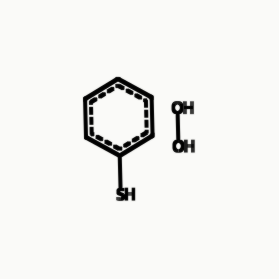 OO.Sc1ccccc1